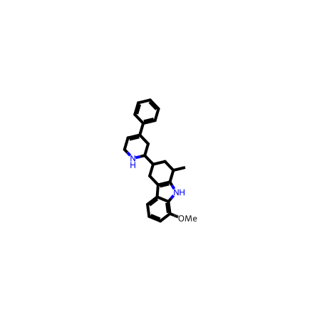 COc1cccc2c3c([nH]c12)C(C)CC(C1CC(c2ccccc2)=CCN1)C3